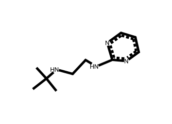 CC(C)(C)NCCNc1ncccn1